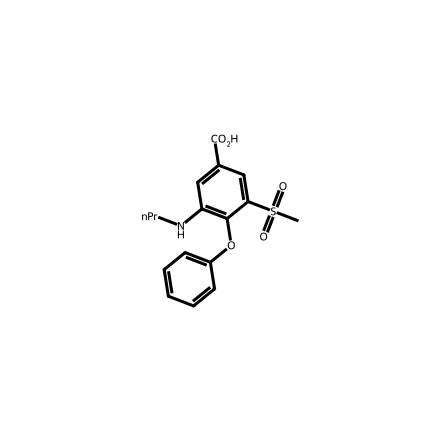 CCCNc1cc(C(=O)O)cc(S(C)(=O)=O)c1Oc1ccccc1